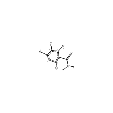 CN(C)C(=O)c1c(Cl)nc(Cl)c(F)c1Br